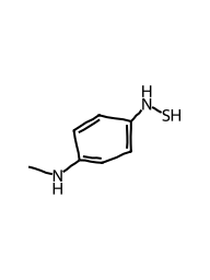 CNc1ccc(NS)cc1